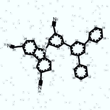 N#Cc1cc(-c2cc(-c3ccccc3)cc(-c3ccccc3)c2)cc(-n2c3ccc(C#N)cc3c3cc(C#N)ccc32)c1